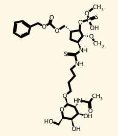 CO[C@H]1C(OP(O)(=S)OC)[C@@H](COC(=O)OCc2ccccc2)C[C@@H]1NC(=S)NCCCCO[C@@H]1O[C@H](CO)[C@H](O)[C@H](O)[C@H]1NC(C)=O